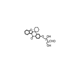 O=C[C@H](CO)[C@H](O)COc1ccc2c(c1)C1(CCCCC1)c1oc3ccccc3c1C2=O